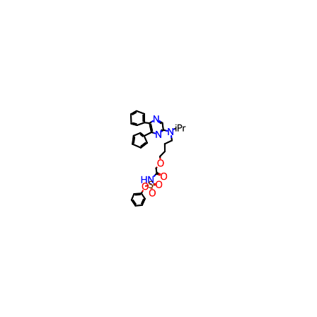 CC(C)N(CCCCOCC(=O)NS(=O)(=O)Oc1ccccc1)c1cnc(-c2ccccc2)c(-c2ccccc2)n1